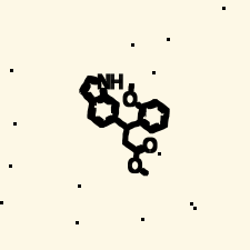 COC(=O)CC(c1ccc2cc[nH]c2c1)c1ccccc1OC